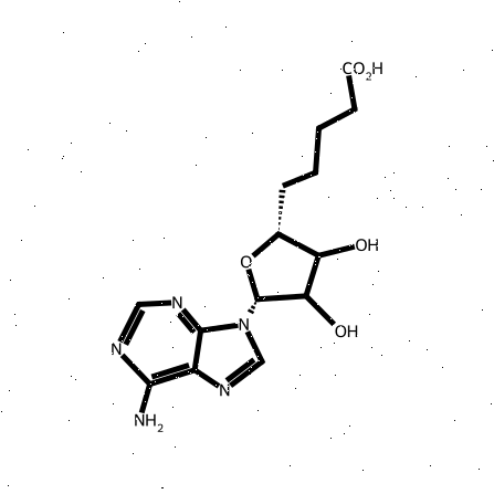 Nc1ncnc2c1ncn2[C@@H]1O[C@H](CCCCC(=O)O)C(O)C1O